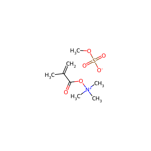 C=C(C)C(=O)O[N+](C)(C)C.COS(=O)(=O)[O-]